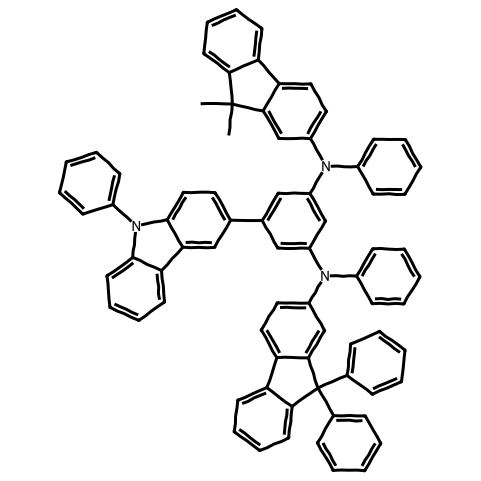 CC1(C)c2ccccc2-c2ccc(N(c3ccccc3)c3cc(-c4ccc5c(c4)c4ccccc4n5-c4ccccc4)cc(N(c4ccccc4)c4ccc5c(c4)C(c4ccccc4)(c4ccccc4)c4ccccc4-5)c3)cc21